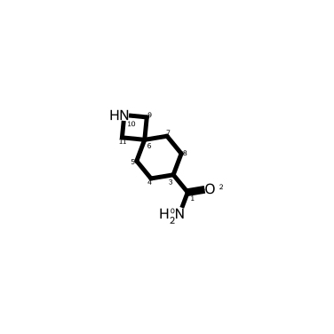 NC(=O)C1CCC2(CC1)CNC2